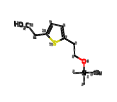 CC(C)(C)[Si](C)(C)OCCc1ccc(CC(=O)O)s1